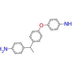 CC(c1ccc(N)cc1)c1ccc(Oc2ccc(N)cc2)cc1